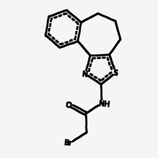 O=C(CBr)Nc1nc2c(s1)CCCc1ccccc1-2